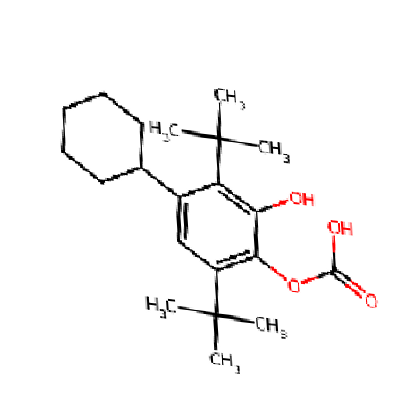 CC(C)(C)c1cc(C2CCCCC2)c(C(C)(C)C)c(O)c1OC(=O)O